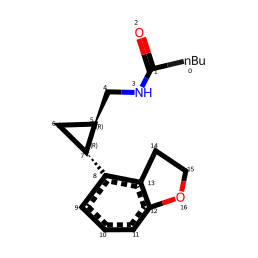 CCCCC(=O)NC[C@@H]1C[C@H]1c1cccc2c1CCO2